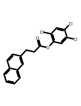 O=C(CCc1ccc2ccccc2c1)Oc1cc(Cl)c(Cl)cc1Cl